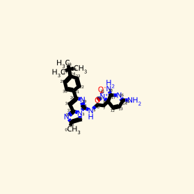 Cc1cn2c(NCCC3([N+](=O)[O-])C=CC(N)=NC3N)nc(-c3ccc(C(C)(C)C)cc3)cc2n1